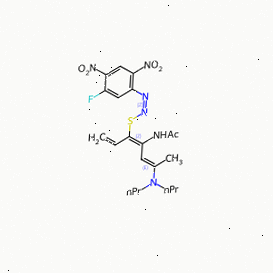 C=C/C(S/N=N\c1cc(F)c([N+](=O)[O-])cc1[N+](=O)[O-])=C(\C=C(/C)N(CCC)CCC)NC(C)=O